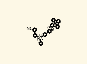 N#Cc1cccc(-c2cccc(-c3nc(-c4ccccc4)nc(-c4ccc(-c5ccc6c(c5)Oc5ccc7c(c5O6)-c5ccccc5C7(c5ccccc5)c5ccccc5)cc4)n3)c2)c1